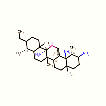 CCC1CCC2(C)C(CCC3(C)[C@]2(N)PC=C2C4(N)[C@H](C)C(N)CCC4(C)CC[C@]23C)[C@@H]1C